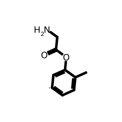 Cc1cc[c]cc1OC(=O)CN